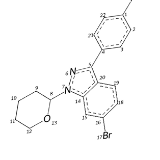 Fc1ccc(-c2nn(C3CCCCO3)c3cc(Br)ccc23)cc1